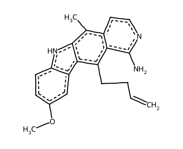 C=CCCc1c2c(N)nccc2c(C)c2[nH]c3ccc(OC)cc3c12